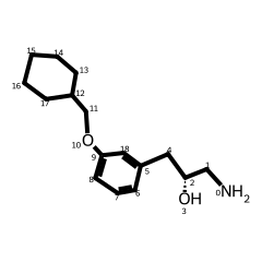 NC[C@H](O)Cc1cccc(OCC2CCCCC2)c1